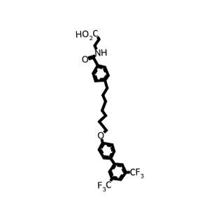 O=C(O)CCNC(=O)c1ccc(CCCCCCCOc2ccc(-c3cc(C(F)(F)F)cc(C(F)(F)F)c3)cc2)cc1